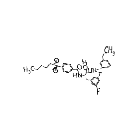 CCCCCS(=O)(=O)c1ccc(C(=O)N[C@@H](Cc2cc(F)cc(F)c2)[C@@H](O)CNCc2cccc(CC)c2)cc1